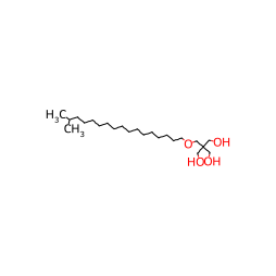 CC(C)CCCCCCCCCCCCCCCOCC(CO)(CO)CO